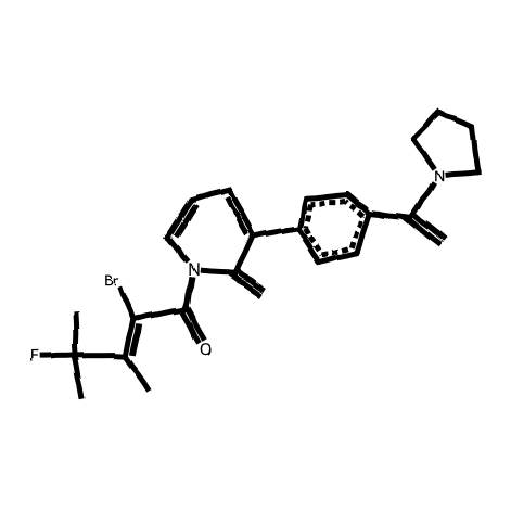 C=C(c1ccc(C2=CC=CN(C(=O)/C(Br)=C(\C)C(C)(C)F)C2=C)cc1)N1CCCC1